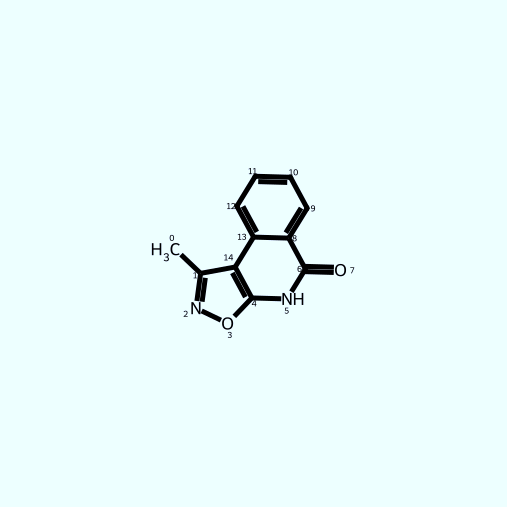 Cc1noc2[nH]c(=O)c3ccccc3c12